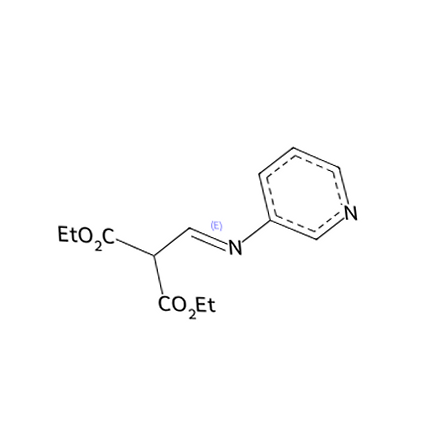 CCOC(=O)C(/C=N/c1cccnc1)C(=O)OCC